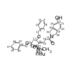 C=C(/C=C(OCc1ccccc1)\C(=C/CC(=O)N1Cc2ccc(O)cc2C1)C(=O)N(C)CCCC)OCc1ccccc1